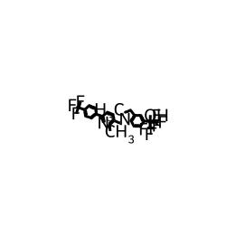 Cc1nc(-c2ccc(C(F)(F)F)cc2)ccc1CN1c2ccc(C(O)(C(F)(F)F)C(F)(F)F)cc2CC1C